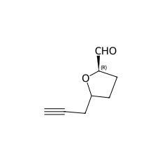 C#CCC1CC[C@H](C=O)O1